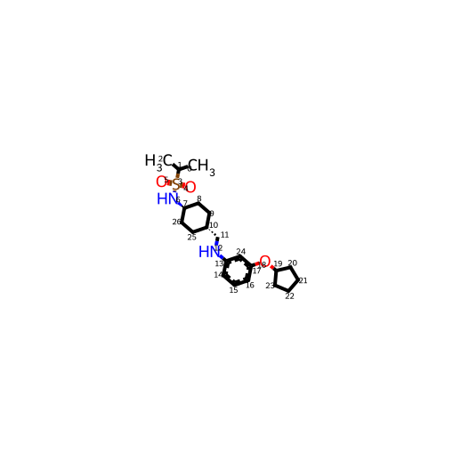 CC(C)S(=O)(=O)N[C@H]1CC[C@H](CNc2cccc(OC3CCCC3)c2)CC1